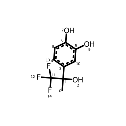 CC(O)(c1ccc(O)c(O)c1)C(F)(F)F